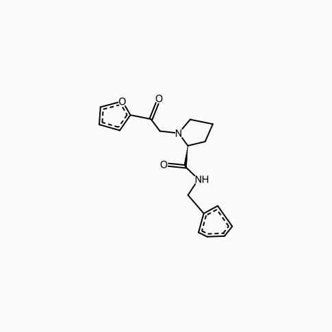 O=C(CN1CCC[C@H]1C(=O)NCc1ccccc1)c1ccco1